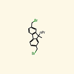 CCCC1(C)c2cc(CBr)ccc2-c2ccc(CBr)cc21